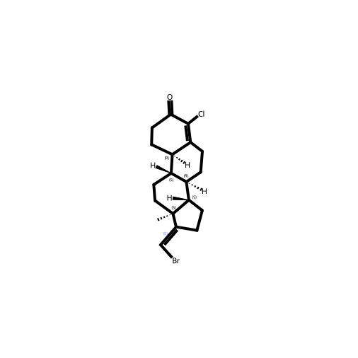 C[C@]12CC[C@H]3[C@@H](CCC4=C(Cl)C(=O)CC[C@@H]43)[C@@H]1CC/C2=C\Br